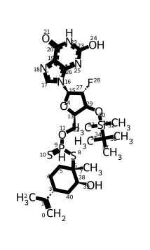 C=C(C)[C@@H]1CC[C@](C)(S[PH](=S)OC[C@H]2O[C@@H](n3cnc4c(=O)[nH]c(O)nc43)[C@H](F)C2O[Si](C)(C)C(C)(C)C)[C@@H](O)C1